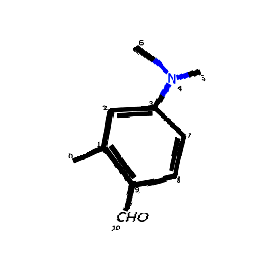 Cc1cc(N(C)C)ccc1C=O